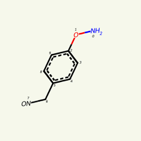 NOc1ccc(CN=O)cc1